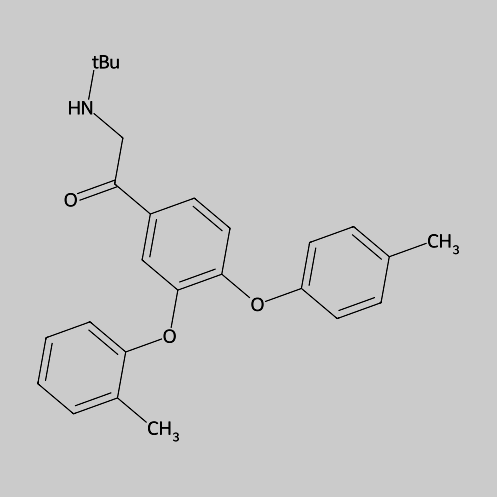 Cc1ccc(Oc2ccc(C(=O)CNC(C)(C)C)cc2Oc2ccccc2C)cc1